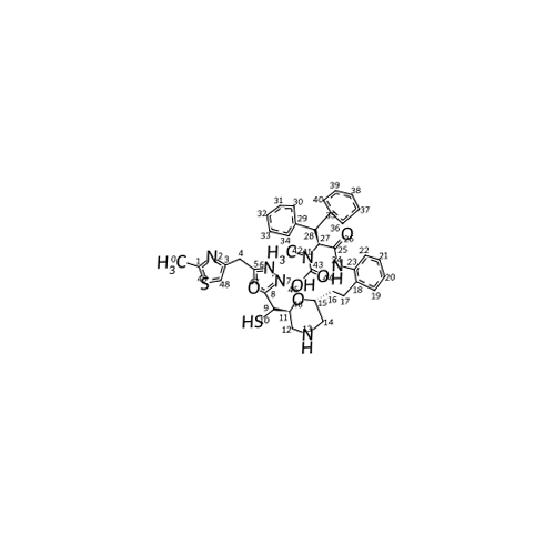 Cc1nc(Cc2nnc(C(S)[C@@H]3CNC[C@@H](CCc4ccccc4NC(=O)[C@H](C(c4ccccc4)c4ccccc4)N(C)C(=O)O)O3)o2)cs1